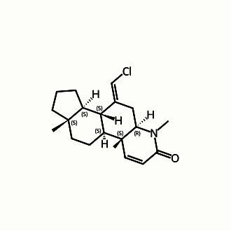 CN1C(=O)C=C[C@]2(C)[C@H]3CC[C@]4(C)CCC[C@H]4[C@@H]3C(=CCl)C[C@@H]12